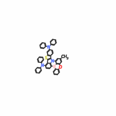 Cc1cc2c3c(c1)-n1c4c(ccc(N(c5ccccc5)c5ccccc5)c4c4sc5cc(N(c6ccccc6)c6ccccc6)ccc5c41)B3c1ccccc1O2